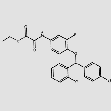 CCOC(=O)C(=O)Nc1ccc(OC(c2ccc(Cl)cc2)c2ccccc2Cl)c(F)c1